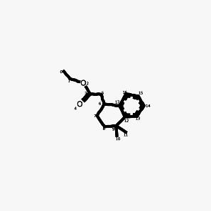 CCOC(=O)CC1CCC(C)(C)c2ccccc21